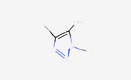 Cc1c([N+](=O)[O-])nnn1C